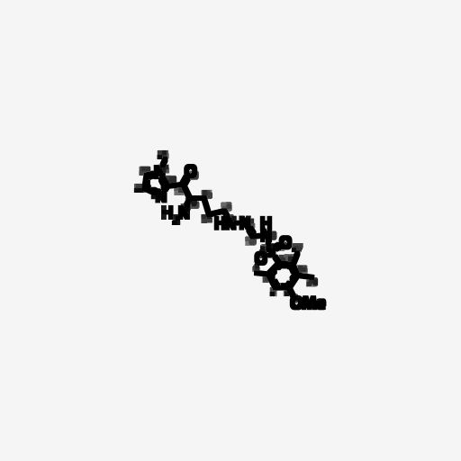 COc1cc(C)c(S(=O)(=O)NC=NNCCC[C@@H](N)C(=O)c2nccn2C)c(C)c1C